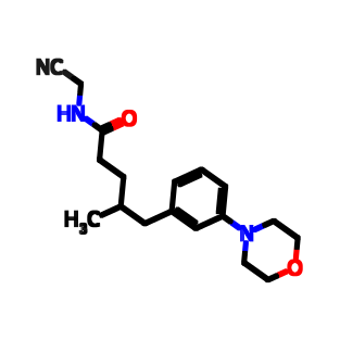 CC(CCC(=O)NCC#N)Cc1cccc(N2CCOCC2)c1